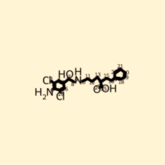 Nc1c(Cl)cc(C(O)CNCCCCC(CCc2ccccc2)C(=O)O)cc1Cl